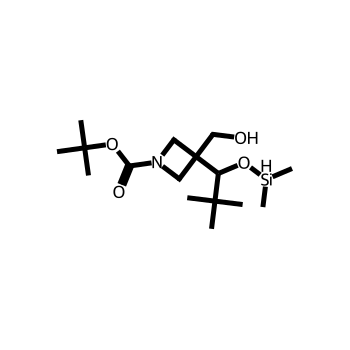 C[SiH](C)OC(C(C)(C)C)C1(CO)CN(C(=O)OC(C)(C)C)C1